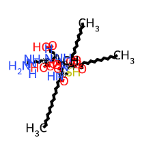 CCCCCCCCCCCCCCCC(=O)N[C@@H](CS)C(=O)N(C[C@H](COC(=O)CCCCCCCCCCC)OC(=O)CCCCCCCCCCC)[C@@H](C)C(=O)N[C@H](CCC(=O)O)C(=O)N[C@@H](CCCNC(=N)N)C(=O)O